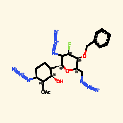 CC(=O)O[C@H]1C(N=[N+]=[N-])CCC([C@H]2O[C@H](CN=[N+]=[N-])[C@@H](OCc3ccccc3)[C@H](F)C2N=[N+]=[N-])[C@@H]1O